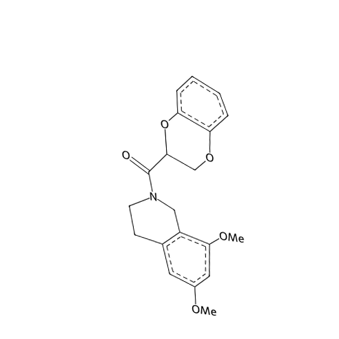 COc1cc2c(c(OC)c1)CN(C(=O)C1COc3ccccc3O1)CC2